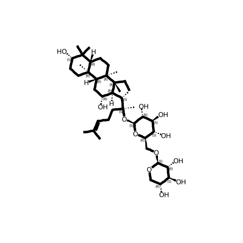 CC(C)=CCC[C@](C)(O[C@@H]1O[C@H](CO[C@@H]2OC[C@@H](O)[C@H](O)[C@H]2O)[C@@H](O)[C@H](O)[C@H]1O)[C@H]1CC[C@]2(C)[C@@H]1[C@H](O)C[C@@H]1[C@@]3(C)CC[C@H](O)C(C)(C)[C@@H]3CC[C@]12C